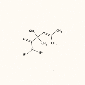 CC(C)=CC(C)(C(=O)N(C(C)C)C(C)C)C(C)(C)C